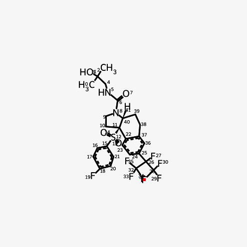 CC(C)(O)CNC(=O)N1CC[C@@]2(S(=O)(=O)c3ccc(F)cc3)c3ccc(C(F)(C(F)(F)F)C(F)(F)F)cc3CC[C@@H]12